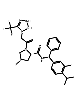 CC(C)c1ccc([C@@H](NC(=O)[C@@H]2C[C@@H](F)CN2C(=O)CN2NNN=C2C(F)(F)F)c2ccccc2)cc1F